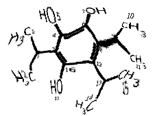 CC(C)c1c(O)c(O)c(C(C)C)c(C(C)C)c1O